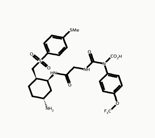 CSc1ccc(S(=O)(=O)C[C@@H]2CC[C@@H](N)C[C@@H]2NC(=O)CNC(=O)N(C(=O)O)c2ccc(OC(F)(F)F)cc2)cc1